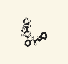 CC(C)C[C@H](NC(=O)[C@@H]1CCCC[C@@H]1NC(=O)c1cc2ccccc2s1)C(=O)c1nn(CC(C)C)c(=O)o1